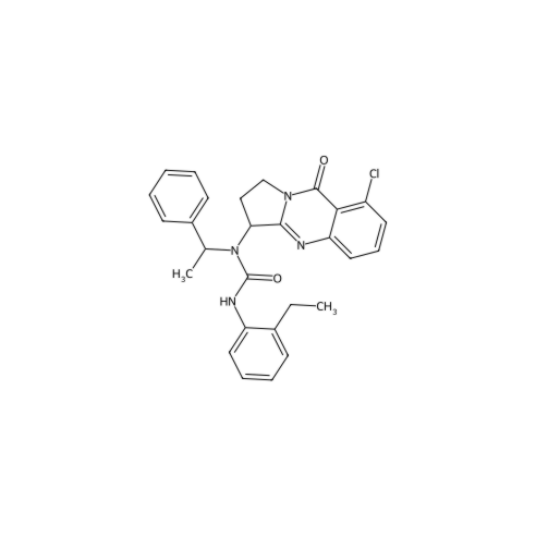 CCc1ccccc1NC(=O)N(C(C)c1ccccc1)C1CCn2c1nc1cccc(Cl)c1c2=O